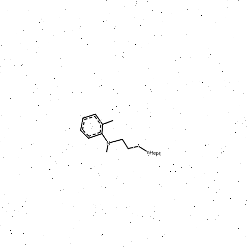 CCCCCCCCCCN(C)c1ccccc1C